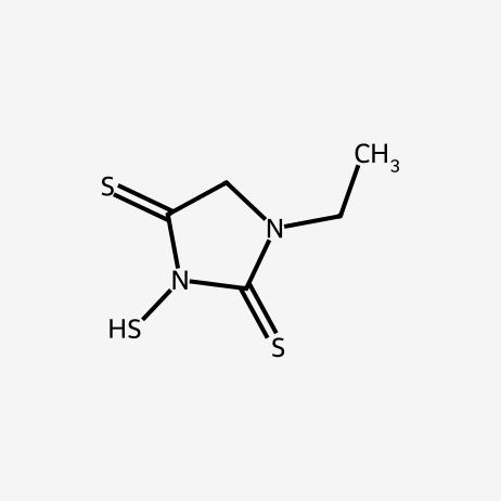 CCN1CC(=S)N(S)C1=S